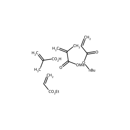 C=C(C)C(=O)O.C=C(C)C(=O)OC.C=CC(=O)OCC.C=CC(=O)OCCCC